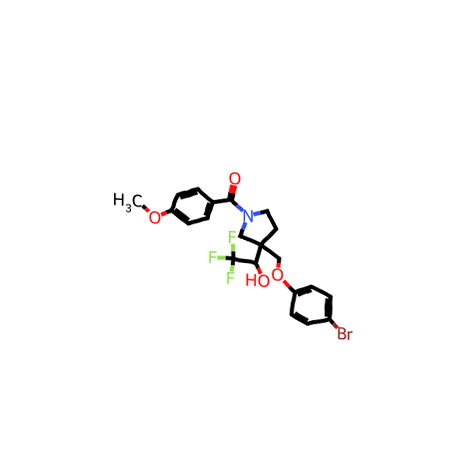 COc1ccc(C(=O)N2CCC(COc3ccc(Br)cc3)(C(O)C(F)(F)F)C2)cc1